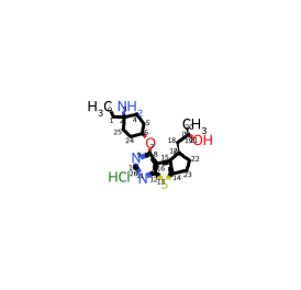 CCC1(N)CCC(Oc2ncnc3sc4c(c23)[C@@H](C[C@H](C)O)CC4)CC1.Cl